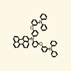 c1ccc(N(c2ccccc2)c2cccc(Oc3cccc(N(c4cccc(Oc5cccc(N(c6ccccc6)c6ccccc6)c5)c4)c4ccc5c6cccc7cccc(c8cccc4c85)c76)c3)c2)cc1